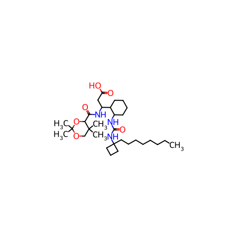 CCCCCCCCC1(NC(=O)NC2CCCCC2C(CC(=O)O)NC(=O)C2OC(C)(C)OCC2(C)C)CCC1